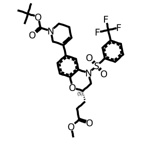 COC(=O)CC[C@H]1CN(S(=O)(=O)c2cccc(C(F)(F)F)c2)c2cc(C3=CCCN(C(=O)OC(C)(C)C)C3)ccc2O1